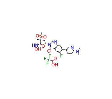 CN(C)c1ccc(-c2cc3ncn(CC[C@](C)(C(=O)NO)S(C)(=O)=O)c(=O)c3cc2F)cn1.O=C(O)C(F)(F)F